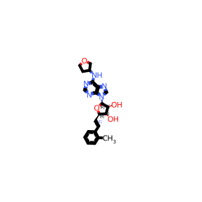 Cc1ccccc1/C=C/[C@H]1O[C@@H](n2cnc3c(NC4CCOC4)ncnc32)[C@H](O)[C@@H]1O